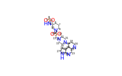 CS(=O)(=O)NC1CCCN(S(=O)(=O)CN2CCN(c3ccnc4cnc5[nH]ccc5c34)CC2)C1